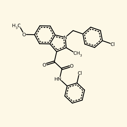 COc1ccc2c(c1)c(C(=O)C(=O)Nc1ccccc1Cl)c(C)n2Cc1ccc(Cl)cc1